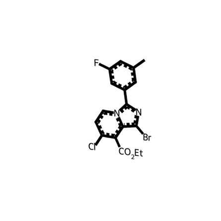 CCOC(=O)c1c(Cl)ccn2c(-c3cc(C)cc(F)c3)nc(Br)c12